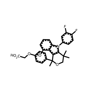 CC1(C)COC(C)(c2ccc(OCC(=O)O)cc2)c2c1n(-c1ccc(F)c(F)c1)c1cccc(O)c21